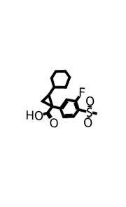 CS(=O)(=O)c1ccc(C2(C(=O)O)CC2C2CCCCC2)cc1F